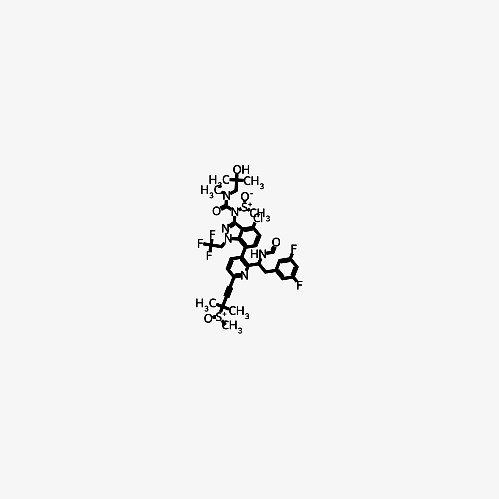 CN(CC(C)(C)O)C(=O)N(c1nn(CC(F)(F)F)c2c(-c3ccc(C#CC(C)(C)[S+](C)[O-])nc3C(Cc3cc(F)cc(F)c3)NC=O)ccc(Cl)c12)[S+](C)[O-]